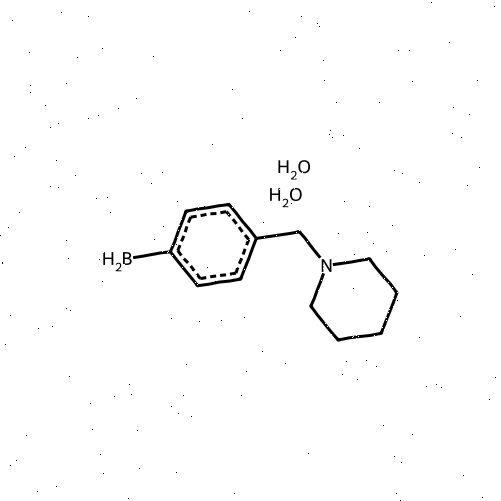 Bc1ccc(CN2CCCCC2)cc1.O.O